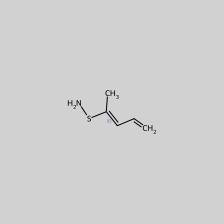 C=C/C=C(\C)SN